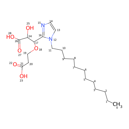 CCCCCCCCCCCCn1ccnc1C(OCCC(=O)O)C(O)C(=O)O